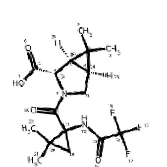 CC1(C)[C@@H]2[C@@H](C(=O)O)N(C(=O)C3(NC(=O)C(F)(F)F)CC3(C)C)C[C@@H]21